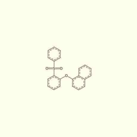 O=S(=O)(c1ccccc1)c1ccccc1Oc1cccc2ccccc12